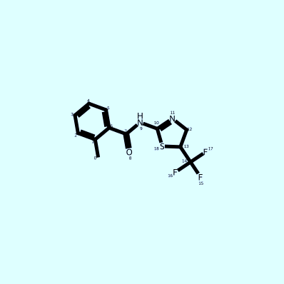 Cc1ccccc1C(=O)NC1=NCC(C(F)(F)F)S1